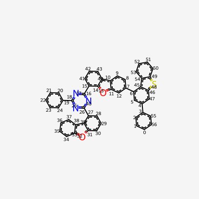 c1ccc(-c2cc(-c3ccc4c(c3)oc3c(-c5nc(-c6ccccc6)nc(-c6cccc7oc8ccccc8c67)n5)cccc34)c3c(c2)sc2ccccc23)cc1